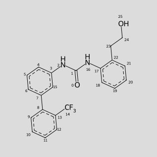 O=C(Nc1cccc(-c2ccccc2C(F)(F)F)c1)Nc1ccccc1CCO